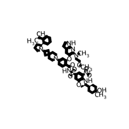 COCCN(C)c1nc2[nH]ccc2cc1Oc1cc(N2CCC3(CC2)CC(N2CCC[C@H]2c2ccccc2C(C)C)C3)ccc1C(=O)NS(=O)(=O)c1cc2c(c([N+](=O)[O-])c1)N[C@@H]([C@H]1CC[C@](C)(O)CC1)CO2